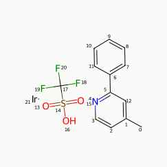 Cc1ccnc(-c2ccccc2)c1.O=S(=O)(O)C(F)(F)F.[Ir]